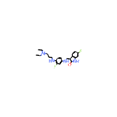 CCN(CC)CCCNc1ccc(NC=C2C(=O)Nc3cc(F)ccc32)cc1F